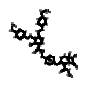 BOC(=O)C1=C(C[N+]23CCC(CNC(=O)c4ccc(OCc5ccc(OC)cc5)c(OCc5ccc(OC)cc5)c4Cl)(CC2)CC3)CS[C@@H]2[C@H](Cl)C(=O)N12